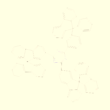 C1=CC2=C(CC1)c1ccccc1C21c2ccccc2-c2ccc(-c3nc(-c4ccc5c(c4)C4(c6ccccc6-c6ccccc64)c4ccccc4-5)nc(-c4ccc5c(c4)C4(c6ccccc6-c6ccccc64)c4ccccc4-5)n3)cc21